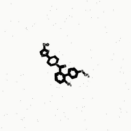 Cc1cccc(C(=O)N2CCC(c3nc([C]=O)cs3)CC2)c1-c1ccc(OC(F)(F)F)cc1